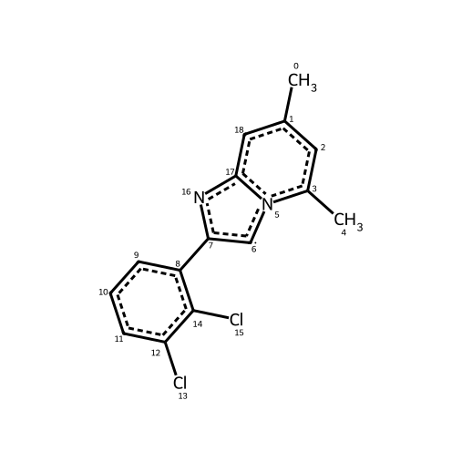 Cc1cc(C)n2[c]c(-c3cccc(Cl)c3Cl)nc2c1